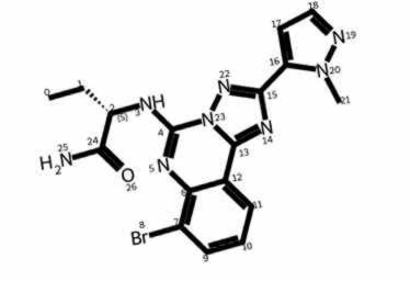 CC[C@H](Nc1nc2c(Br)cccc2c2nc(-c3ccnn3C)nn12)C(N)=O